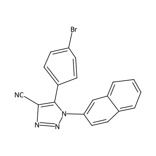 N#Cc1nnn(-c2ccc3ccccc3c2)c1-c1ccc(Br)cc1